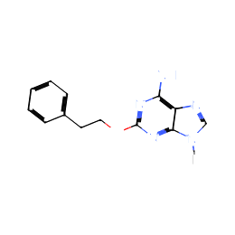 CCn1cnc2c(N)nc(OCCc3ccccc3)nc21